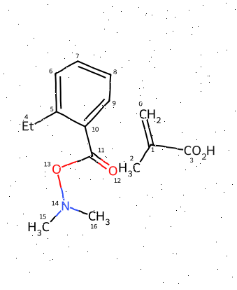 C=C(C)C(=O)O.CCc1ccccc1C(=O)ON(C)C